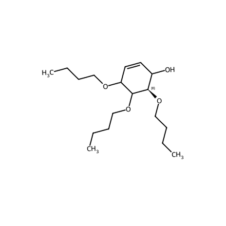 CCCCOC1C=CC(O)[C@@H](OCCCC)C1OCCCC